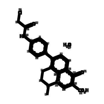 CC1CCc2c(-c3ccc(NC(=O)CCl)cc3)ccc3c(=O)c(C(=O)O)cn1c23.O